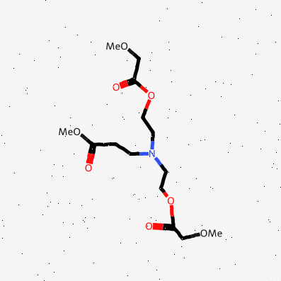 COCC(=O)OCCN(CCOC(=O)COC)CCC(=O)OC